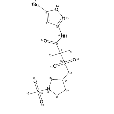 CC(C)(C)c1cc(NC(=O)C(C)(C)S(=O)(=O)CC2CCN(S(C)(=O)=O)C2)no1